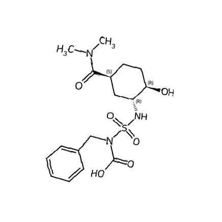 CN(C)C(=O)[C@H]1CC[C@@H](O)[C@H](NS(=O)(=O)N(Cc2ccccc2)C(=O)O)C1